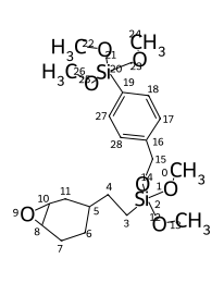 CO[Si](CCC1CCC2OC2C1)(OC)OCc1ccc([Si](OC)(OC)OC)cc1